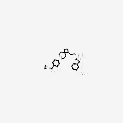 COc1cccc([C@@](O)(C(=O)N(C)CCC2CCC23CCN(c2ccc(C(=O)N4CC4)c(Cl)c2)CC3)C(F)(F)F)c1